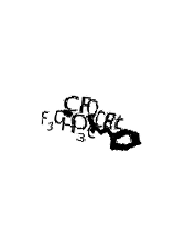 CCC(CC(C)(C)C(=O)OC(C(F)(F)F)C(F)(F)F)c1ccccc1